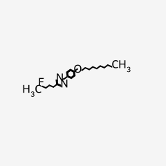 CCCCCCCCCCOc1ccc(-c2ncc(CCCC(C)F)cn2)cc1